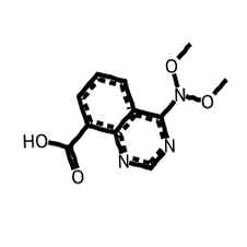 CON(OC)c1ncnc2c(C(=O)O)cccc12